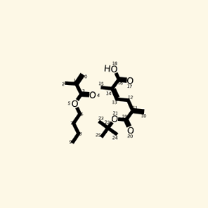 C=C(C)C(=O)OCCCC.C=C(CC=C(C)C(=O)O)C(=O)OC(C)(C)C